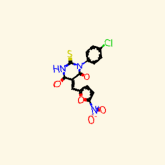 O=C1NC(=S)N(c2ccc(Cl)cc2)C(=O)/C1=C\c1ccc([N+](=O)[O-])o1